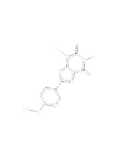 CCn1c(=O)c2[nH]c(-c3ccc(NN)nc3)nc2n(CC)c1=O